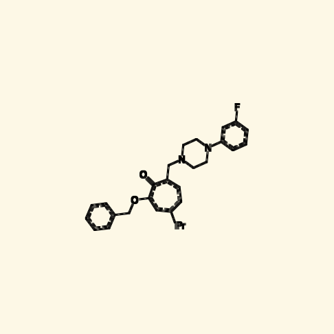 CC(C)c1ccc(CN2CCN(c3cccc(F)c3)CC2)c(=O)c(OCc2ccccc2)c1